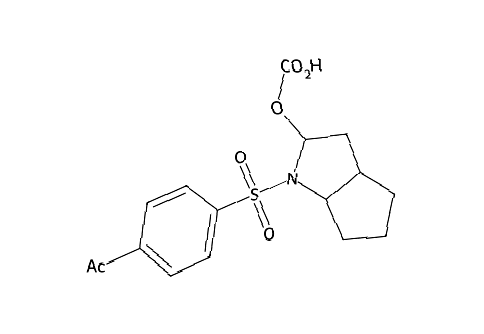 CC(=O)c1ccc(S(=O)(=O)N2C(OC(=O)O)CC3CCCC32)cc1